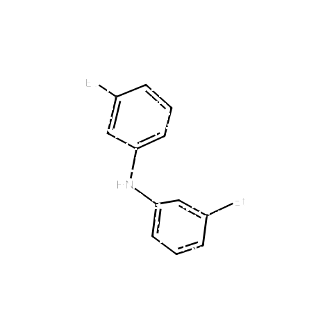 CCc1cccc(Nc2cccc(CC)c2)c1